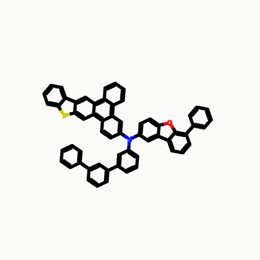 c1ccc(-c2cccc(-c3cccc(N(c4ccc5oc6c(-c7ccccc7)cccc6c5c4)c4ccc5c(c4)c4ccccc4c4cc6c(cc54)sc4ccccc46)c3)c2)cc1